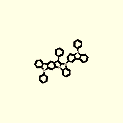 c1ccc(-c2c3cc4c5ccccc5n(-c5ccccc5)c4cc3n3c4ccccc4n(-c4ccc5c(c4)c4ccccc4n5-c4ccccc4)c23)cc1